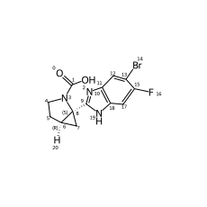 O=C(O)N1CC[C@@H]2C[C@@]21c1nc2cc(Br)c(F)cc2[nH]1